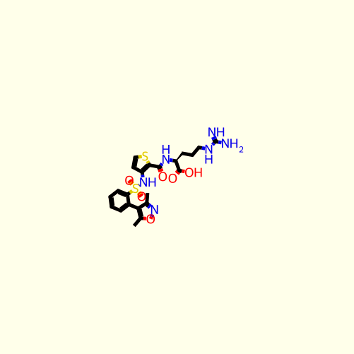 Cc1noc(C)c1-c1ccccc1S(=O)(=O)Nc1ccsc1C(=O)N[C@@H](CCCNC(=N)N)C(=O)O